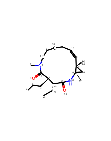 CCC[C@H]1C(=O)N(C)CCCC/C=C\[C@@H]2C[C@@]2(C)NC(=O)[C@@H]1CC